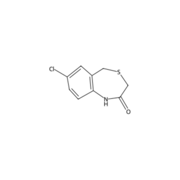 O=C1CSCc2cc(Cl)ccc2N1